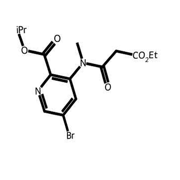 CCOC(=O)CC(=O)N(C)c1cc(Br)cnc1C(=O)OC(C)C